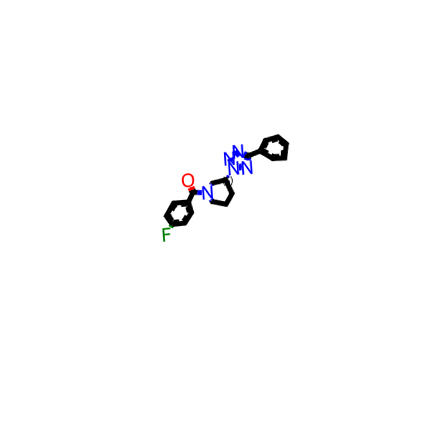 O=C(c1ccc(F)cc1)N1CCC[C@H](n2nnc(-c3ccccc3)n2)C1